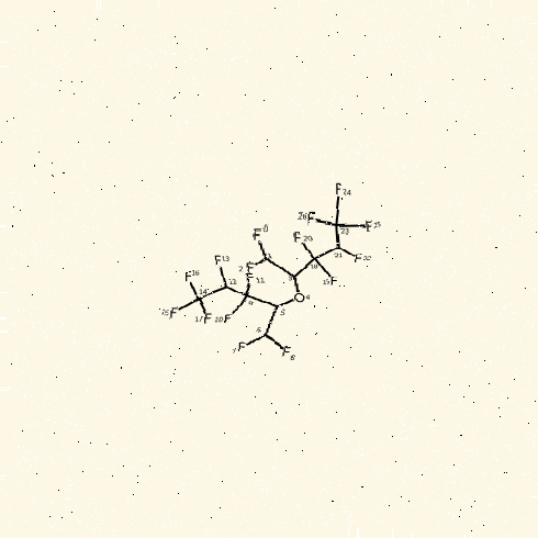 FC(F)C(OC(C(F)F)C(F)(F)C(F)C(F)(F)F)C(F)(F)C(F)C(F)(F)F